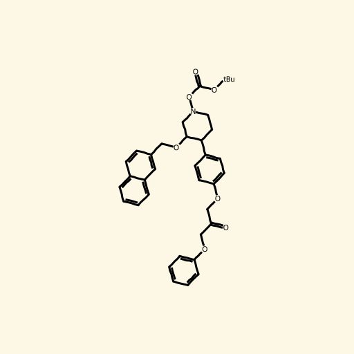 CC(C)(C)OC(=O)ON1CCC(c2ccc(OCC(=O)COc3ccccc3)cc2)C(OCc2ccc3ccccc3c2)C1